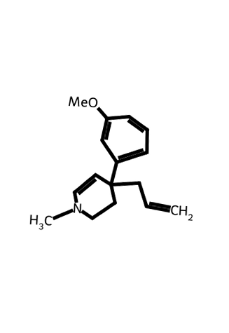 C=CCC1(c2cccc(OC)c2)C=CN(C)CC1